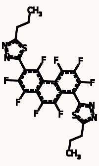 CCCc1nnc(-c2c(F)c(F)c3c(F)c(F)c4c(-c5nnc(CCC)s5)c(F)c(F)c(F)c4c3c2F)s1